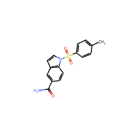 Cc1ccc(S(=O)(=O)n2ccc3cc(C(N)=O)ccc32)cc1